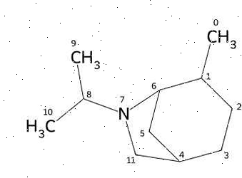 CC1CCC2CC1N(C(C)C)C2